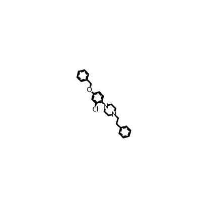 Clc1cc(OCc2ccccc2)ccc1N1CCN(CCc2ccccc2)CC1